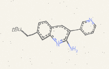 CC(C)(C)Cc1ccc2cc(-c3cccnc3)c(N)nc2c1